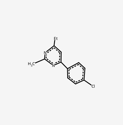 CCc1cc(-c2ccc(Cl)cc2)nc(C)n1